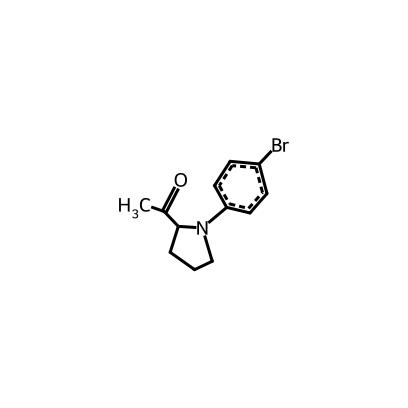 CC(=O)C1CCCN1c1ccc(Br)cc1